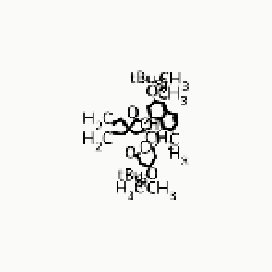 C=CCC(CC=C)(CC=C)C(=O)O[C@H]1C[C@H](O[Si](C)(C)C(C)(C)C)C=C2C=C[C@H](C)[C@H](CC[C@@H]3C[C@@H](O[Si](C)(C)C(C)(C)C)CC(=O)O3)[C@H]21